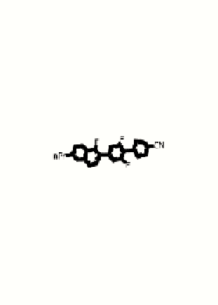 CCCc1ccc2c(F)c(-c3cc(F)c(-c4ccc(C#N)cc4)c(F)c3)ccc2c1